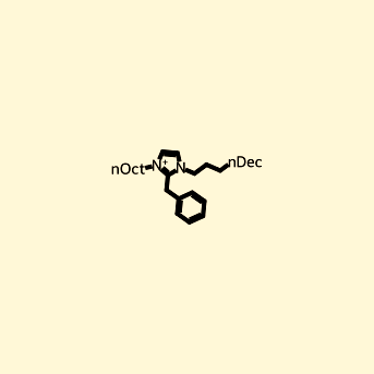 CCCCCCCCCCCCCn1cc[n+](CCCCCCCC)c1Cc1ccccc1